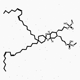 CCCCC/C=C\C/C=C\CCCCCCCCC1(CCCCCCCC/C=C\C/C=C\CCCCC)CCC2(CC1)O[C@H]1C[C@@H](CCCOP(=O)(O)OC)[C@@H](CCCOP(=O)(O)OC)C[C@@H]1O2